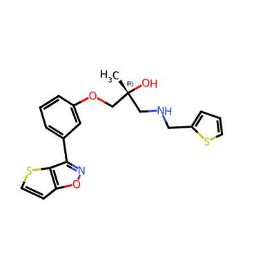 C[C@@](O)(CNCc1cccs1)COc1cccc(-c2noc3ccsc23)c1